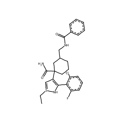 CCS1=CC(C2(C(N)=O)CCCC(CNC(=O)c3ccccc3)C2)=C(c2c(F)cccc2Cl)N1